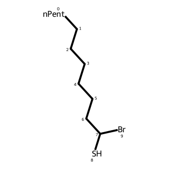 CCCCCCCCCCCC(S)Br